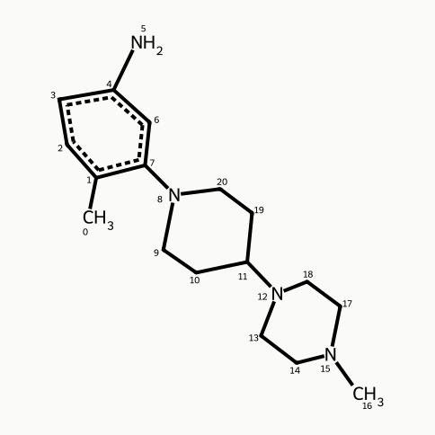 Cc1ccc(N)cc1N1CCC(N2CCN(C)CC2)CC1